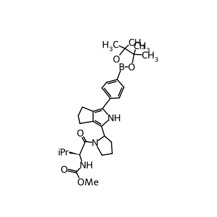 COC(=O)N[C@H](C(=O)N1CCCC1c1[nH]c(-c2ccc(B3OC(C)(C)C(C)(C)O3)cc2)c2c1CCC2)C(C)C